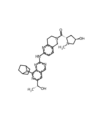 C[C@@H](O)c1cc2cnc(Nc3ccc4c(n3)CCN(C(=O)[C@@H]3C[C@@H](O)CN3C)C4)nc2c(N2C3CCC2CC3)n1